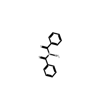 NN(C(=S)c1ccccc1)C(=S)c1ccccc1